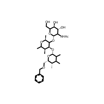 CC(=O)NC1[C@H](OC2[C@H](C)OC(C)[C@H](C)[C@@H]2O[C@H]2O[C@@H](COCc3ccccc3)[C@@H](C)C(C)C2C)OC(CO)[C@@H](O)[C@@H]1O